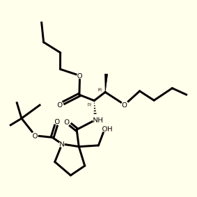 CCCCOC(=O)[C@@H](NC(=O)C1(CO)CCCN1C(=O)OC(C)(C)C)[C@@H](C)OCCCC